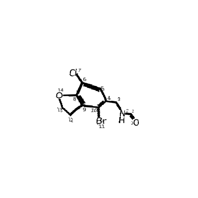 O=CNCc1cc(Cl)c2c(c1Br)CCO2